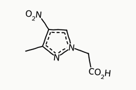 Cc1nn(CC(=O)O)cc1[N+](=O)[O-]